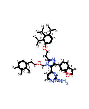 Cc1ccc(CCOCn2c(CCOc3ccc(C(C)C)c(C(C)C)c3C(C)C)nc(-c3ccc4ccoc4c3)c2-c2ccnc(N)n2)c(C)c1C